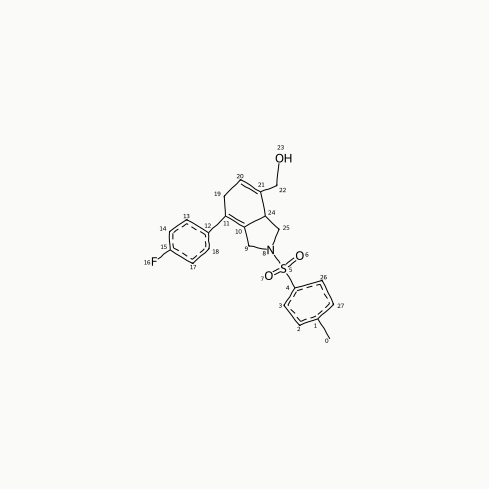 Cc1ccc(S(=O)(=O)N2CC3=C(c4ccc(F)cc4)CC=C(CO)C3C2)cc1